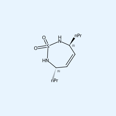 CCC[C@H]1C=C[C@H](CCC)NS(=O)(=O)N1